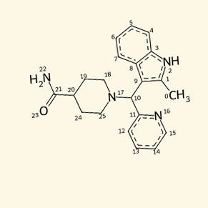 Cc1[nH]c2ccccc2c1C(c1ccccn1)N1CCC(C(N)=O)CC1